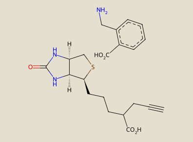 C#CCC(CCC[C@@H]1SC[C@@H]2NC(=O)N[C@@H]21)C(=O)O.NCc1ccccc1C(=O)O